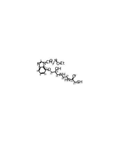 CCO[N+](=O)[O-].Cn1cnc2cccc(OCC(O)CNCCNC(=O)CS)c21